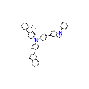 CC1(C)c2ccccc2-c2ccc(N(c3ccc(-c4ccc5ccccc5c4)cc3)c3ccc(-c4ccc5c(ccn5-c5ccccc5)c4)cc3)cc21